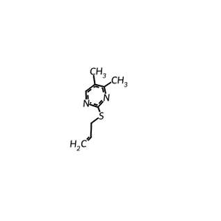 C=CCSc1ncc(C)c(C)n1